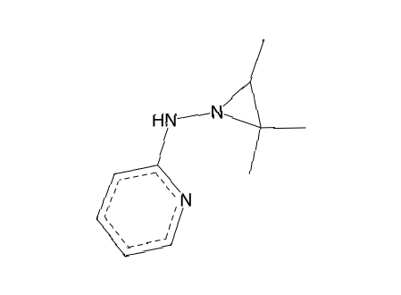 CC1N(Nc2ccccn2)C1(C)C